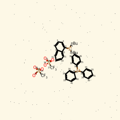 CCCC[S+](CCCC)c1cccc2ccccc12.O=S(=O)([O-])C(F)(F)F.O=S(=O)([O-])C(F)(F)F.c1ccc([S+](c2ccccc2)c2ccccc2)cc1